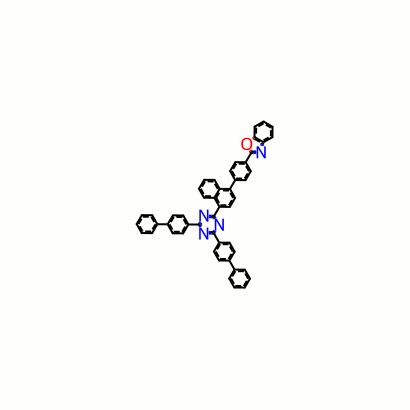 c1ccc(-c2ccc(-c3nc(-c4ccc(-c5ccccc5)cc4)nc(-c4ccc(-c5ccc(-c6nc7ccccc7o6)cc5)c5ccccc45)n3)cc2)cc1